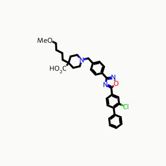 COCCCCC1(C(=O)O)CCN(Cc2ccc(-c3noc(-c4ccc(-c5ccccc5)c(Cl)c4)n3)cc2)CC1